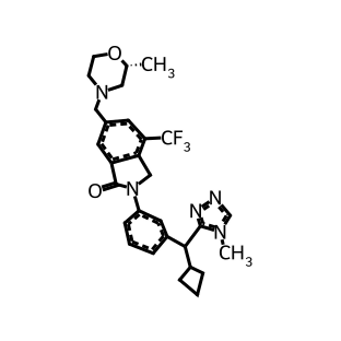 C[C@@H]1CN(Cc2cc3c(c(C(F)(F)F)c2)CN(c2cccc(C(c4nncn4C)C4CCC4)c2)C3=O)CCO1